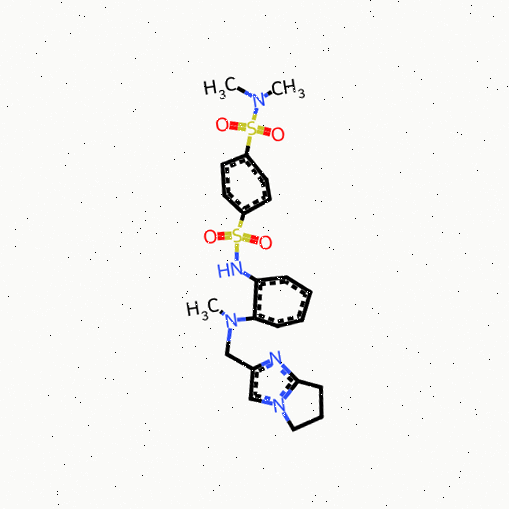 CN(Cc1cn2c(n1)CCC2)c1ccccc1NS(=O)(=O)c1ccc(S(=O)(=O)N(C)C)cc1